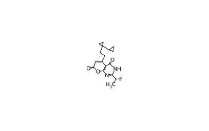 CC(F)c1nc2oc(=O)cc(CCC3(C4CC4)CC3)c2c(=O)[nH]1